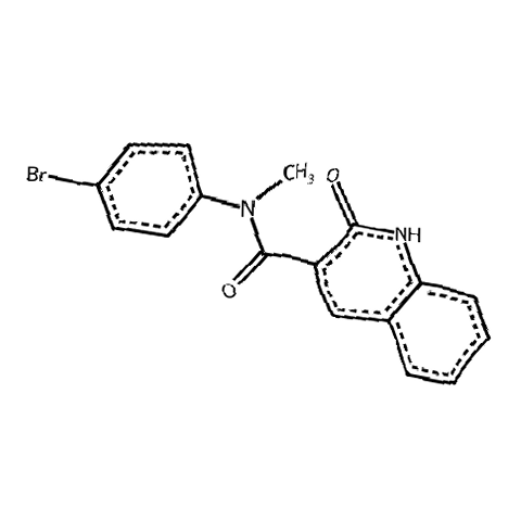 CN(C(=O)c1cc2ccccc2[nH]c1=O)c1ccc(Br)cc1